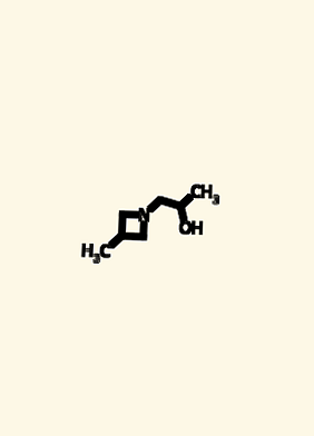 CC(O)CN1CC(C)C1